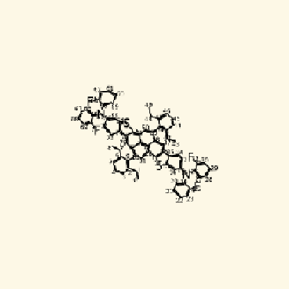 CCc1cccc(CC)c1-c1cc2c3sc4cc(N(c5ccccc5F)c5ccccc5F)ccc4c3cc3c(-c4c(CC)cccc4CC)cc4c5sc6cc(N(c7ccccc7F)c7ccccc7F)ccc6c5cc1c4c32